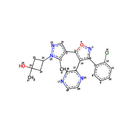 Cc1c(-c2onc(-c3ccccc3Cl)c2-c2cnccn2)cnn1C1CC(C)(O)C1